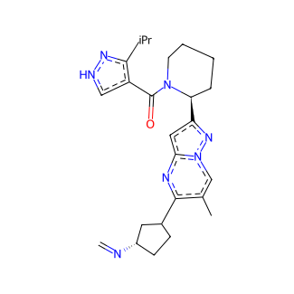 C=N[C@H]1CCC(c2nc3cc([C@@H]4CCCCN4C(=O)c4c[nH]nc4C(C)C)nn3cc2C)C1